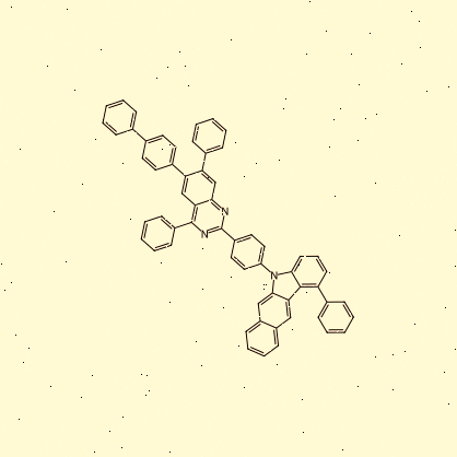 c1ccc(-c2ccc(-c3cc4c(-c5ccccc5)nc(-c5ccc(-n6c7cc8ccccc8cc7c7c(-c8ccccc8)cccc76)cc5)nc4cc3-c3ccccc3)cc2)cc1